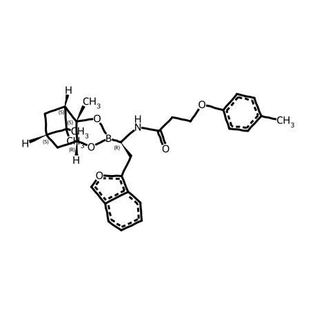 Cc1ccc(OCCC(=O)N[C@@H](Cc2occ3ccccc23)B2O[C@@H]3C[C@@H]4C[C@@H](C4(C)C)[C@]3(C)O2)cc1